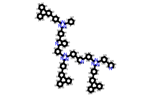 c1ccc(-c2nc(-c3ccc(-c4ccc5c6ccccc6c6ccccc6c5c4)cc3)nc(-c3ccc(-c4cnc(-c5cccc(-c6nc(-c7ccc(-c8ccc9c%10ccccc%10c%10ccccc%10c9c8)cc7)nc(-c7cccc(-c8ccnc(-c9cccc(-c%10nc(-c%11ccc(-c%12ccc%13c%14ccccc%14c%14ccccc%14c%13c%12)cc%11)nc(-c%11cccc(-c%12cccnc%12)c%11)n%10)c9)c8)c7)n6)c5)c5ccccc45)cc3)n2)cc1